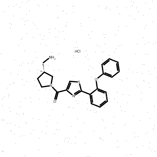 Cl.NC[C@H]1CCN(C(=O)c2csc(-c3ccccc3Oc3ccccc3)n2)C1